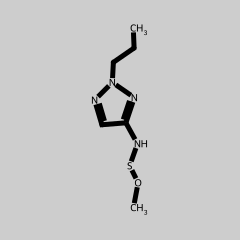 CCCn1ncc(NSOC)n1